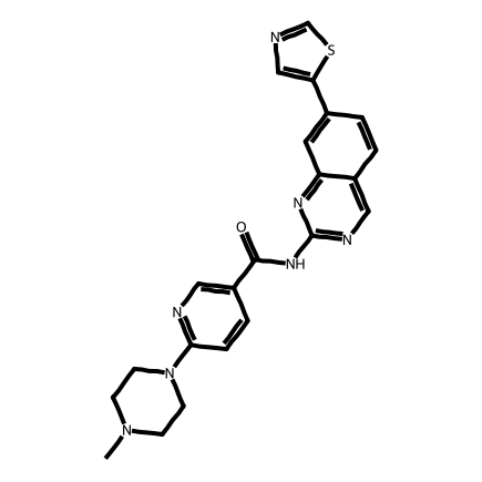 CN1CCN(c2ccc(C(=O)Nc3ncc4ccc(-c5cncs5)cc4n3)cn2)CC1